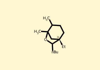 CCCCC1OC2(C)C[C@]1(CC)CCC2C